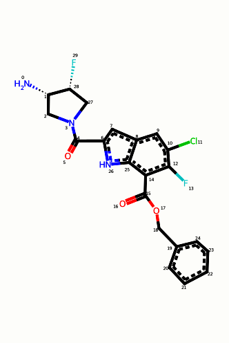 N[C@H]1CN(C(=O)c2cc3cc(Cl)c(F)c(C(=O)OCc4ccccc4)c3[nH]2)C[C@H]1F